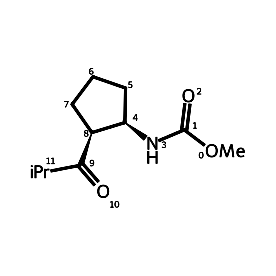 COC(=O)N[C@@H]1CCC[C@@H]1C(=O)C(C)C